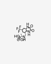 CCN(Cc1cc(C(F)(F)F)cc2[nH]c(=O)c(=O)[nH]c12)[C@H](C)P(=O)(O)O